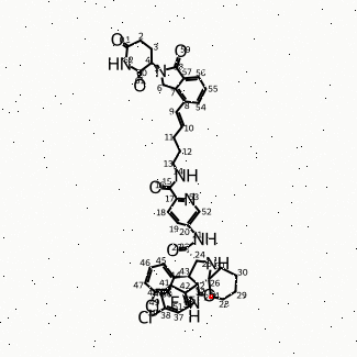 O=C1CCC(N2Cc3c(/C=C/CCCNC(=O)c4ccc(NC(=O)[C@@H]5NC6(CCCCC6)[C@@]6(C(=O)Nc7cc(Cl)ccc76)[C@H]5c5cccc(Cl)c5F)cn4)cccc3C2=O)C(=O)N1